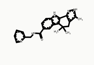 Cc1[nH]nc2c1CC(C)(C)c1c-2[nH]c2ccc(C(=O)NCc3ccccn3)cc12